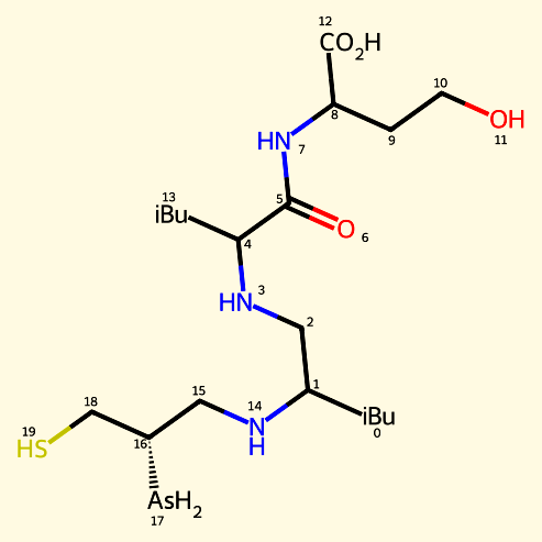 CCC(C)C(CNC(C(=O)NC(CCO)C(=O)O)C(C)CC)NC[C@H]([AsH2])CS